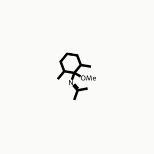 COC1(N=C(C)C)C(C)CCCC1C